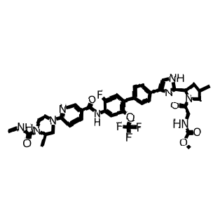 CNC(=O)N1CCN(c2ccc(C(=O)Nc3cc(OC(F)(F)F)c(-c4ccc(-c5c[nH]c(C6CC(C)CN6C(=O)CNC(=O)OC)n5)cc4)cc3F)cn2)CC1C